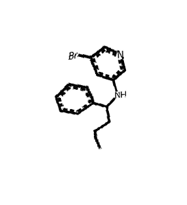 CCCC(Nc1cncc(Br)c1)c1ccccc1